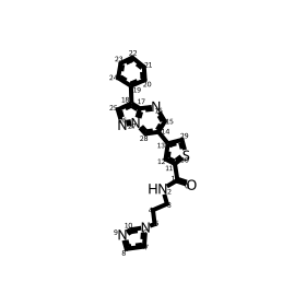 O=C(NCCCn1ccnc1)c1cc(-c2cnc3c(-c4ccccc4)cnn3c2)cs1